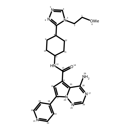 COCCn1cnnc1C1CCC(NC(=O)c2cc(-c3ccncc3)n3ncnc(N)c23)CC1